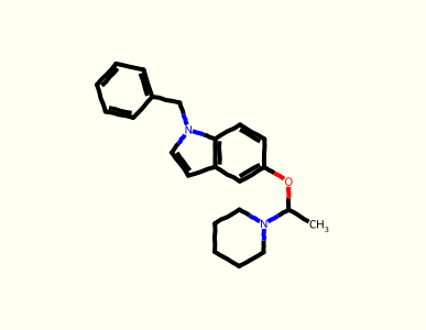 CC(Oc1ccc2c(ccn2Cc2ccccc2)c1)N1CCCCC1